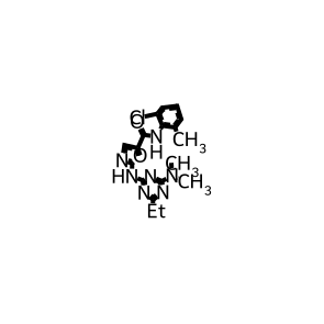 CCc1nc(Nc2ncc(C(=O)Nc3c(C)cccc3Cl)o2)nc(N(C)C)n1